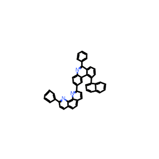 c1ccc(-c2ccc3ccc4ccc(-c5ccc6nc(-c7ccccc7)c7cccc(-c8cccc9ccccc89)c7c6c5)nc4c3n2)cc1